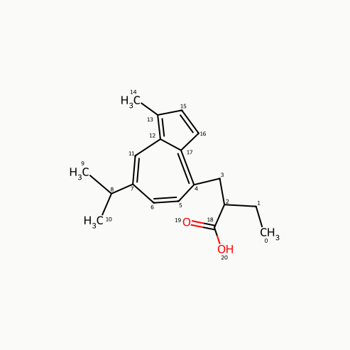 CCC(Cc1ccc(C(C)C)cc2c(C)ccc1-2)C(=O)O